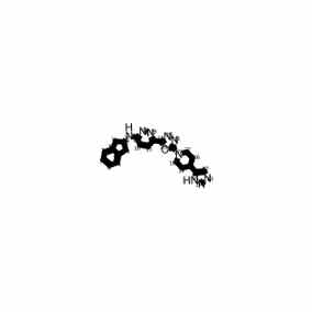 c1ccc2c(c1)CC(Nc1ccc(-c3nnc(N4CCC(c5cnn[nH]5)CC4)o3)nn1)C2